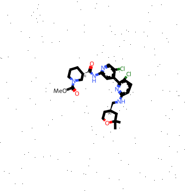 COC(=O)N1CCC[C@H](C(=O)Nc2cc(-c3nc(NC[C@@H]4CCOC(C)(C)C4)ccc3Cl)c(Cl)cn2)C1